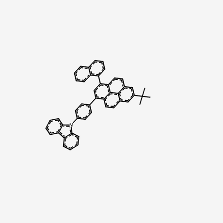 CC(C)(C)c1cc2ccc3c(-c4ccc(-n5c6ccccc6c6ccccc65)cc4)cc(-c4cccc5ccccc45)c4ccc(c1)c2c34